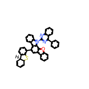 C1=CC2Sc3c(-c4cc5c6ccccc6oc5c5c4c4ccccc4n5-c4nc(-c5ccccc5)c5ccccc5n4)cccc3[C@@H]2C=C1